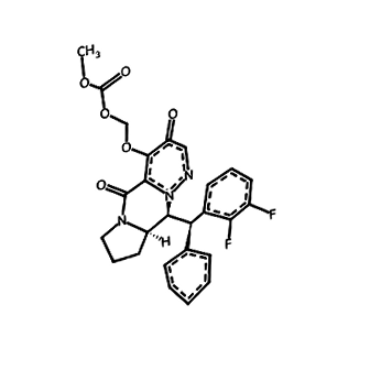 COC(=O)OCOc1c2n(ncc1=O)[C@@H]([C@H](c1ccccc1)c1cccc(F)c1F)[C@H]1CCCN1C2=O